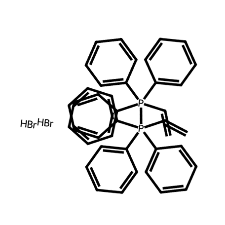 Br.Br.C=CP(c1ccccc1)(c1ccccc1)(c1ccccc1)P(C=C)(c1ccccc1)(c1ccccc1)c1ccccc1